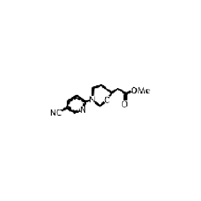 COC(=O)CC1CCN(c2ccc(C#N)cn2)CC1